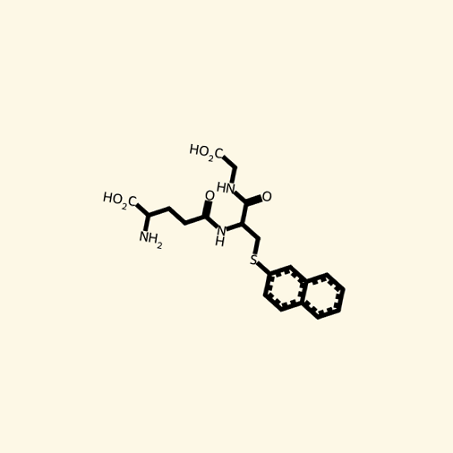 NC(CCC(=O)NC(CSc1ccc2ccccc2c1)C(=O)NCC(=O)O)C(=O)O